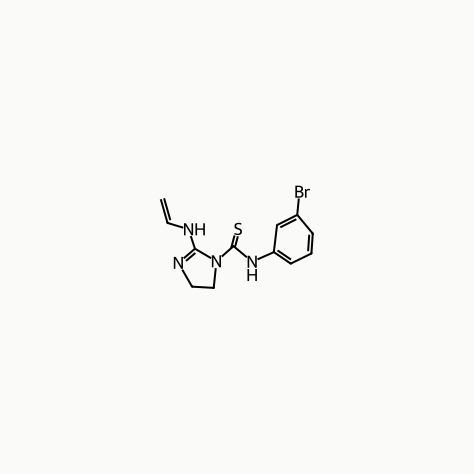 C=CNC1=NCCN1C(=S)Nc1cccc(Br)c1